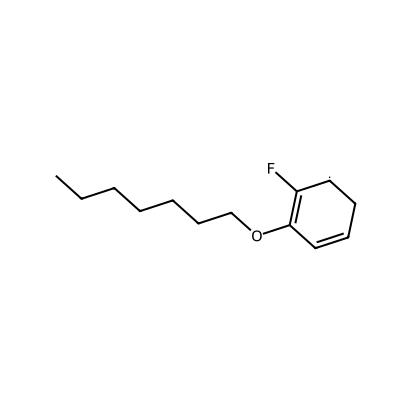 CCCCCCCOC1=C(F)[CH]CC=C1